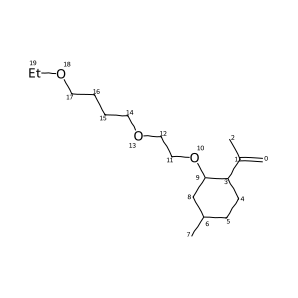 C=C(C)C1CCC(C)CC1OCCOCCCCOCC